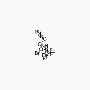 CC(=O)N1CCN(C(=O)CCC(=O)Nc2ccc(Br)cc2C(=O)N2C[C@H](C(F)(F)F)C[C@H](C(F)(F)F)C2)CC1